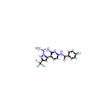 CCn1nc(C(F)(F)F)cc1-c1ccc(NC(=O)c2ccc(Cl)cc2)nc1N